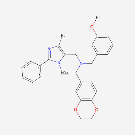 CCCCn1c(-c2ccccc2)nc(CC)c1CN(Cc1cccc(OCC)c1)Cc1ccc2c(c1)OCCO2